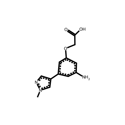 Cn1cc(-c2cc(N)cc(OCC(=O)O)c2)cn1